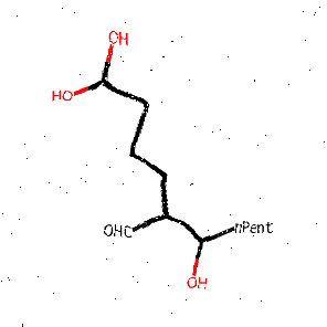 CCCCCC(O)C(C=O)CCCC(O)O